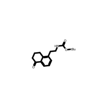 CC(C)(C)OC(=O)NCCc1cccc2c1CCCC2=O